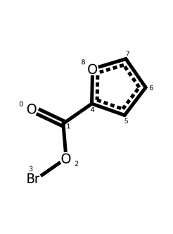 O=C(OBr)c1ccco1